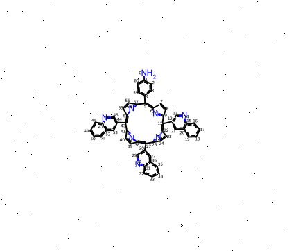 Nc1ccc(C2=C3C=CC(=N3)C(c3cnc4ccccc4c3)=C3C=CC(=N3)C(c3cnc4ccccc4c3)=C3C=CC(=N3)C(c3cnc4ccccc4c3)=C3C=CC2=N3)cc1